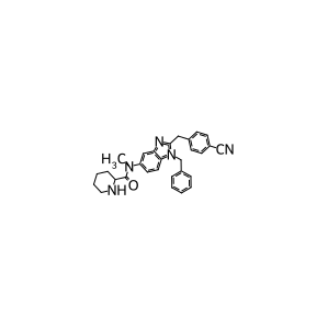 CN(C(=O)C1CCCCN1)c1ccc2c(c1)nc(Cc1ccc(C#N)cc1)n2Cc1ccccc1